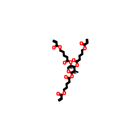 C=CC(=O)OCCCCC(=O)OC1OC[C@@H](OC(=O)CCCCOC(=O)C=C)[C@H](OC(=O)CCCCOC(=O)C=C)[C@H]1C